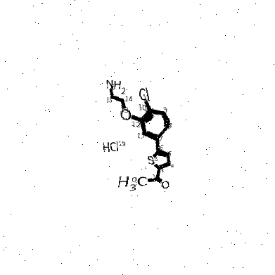 CC(=O)c1ccc(-c2ccc(Cl)c(OCCN)c2)s1.Cl